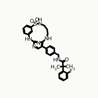 CC(C)(C(=O)NCc1ccc(-c2cnc3nc2NCCCNS(=O)(=O)c2cccc(c2)N3)cc1)c1ccccc1F